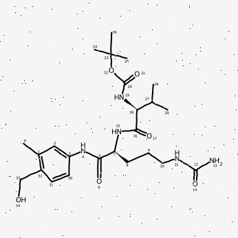 [CH2]c1cc(NC(=O)[C@H](CCCNC(N)=O)NC(=O)[C@@H](NC(=O)OC(C)(C)C)C(C)C)ccc1CO